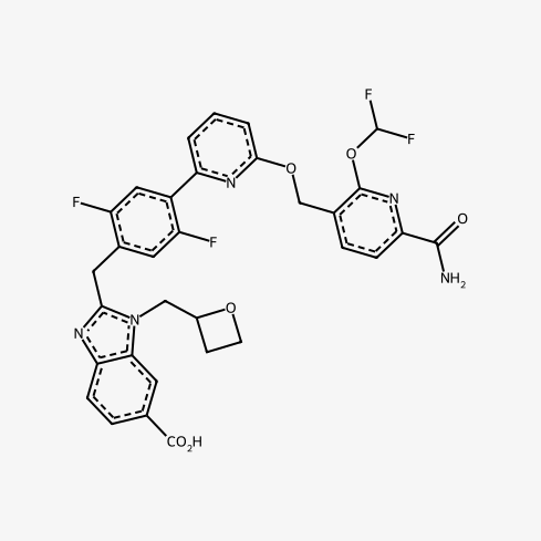 NC(=O)c1ccc(COc2cccc(-c3cc(F)c(Cc4nc5ccc(C(=O)O)cc5n4CC4CCO4)cc3F)n2)c(OC(F)F)n1